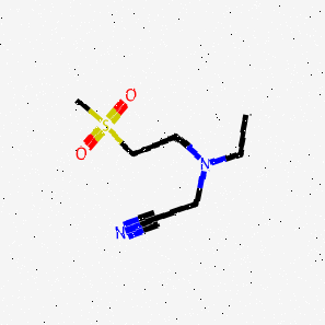 [CH2]CN(CC#N)CCS(C)(=O)=O